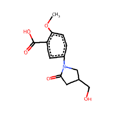 COc1ccc(N2CC(CO)CC2=O)cc1C(=O)O